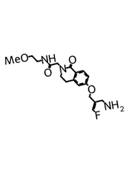 COCCNC(=O)CN1CCc2cc(OC/C(=C/F)CN)ccc2C1=O